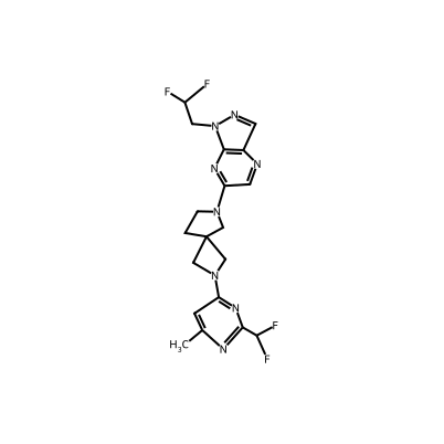 Cc1cc(N2CC3(CCN(c4cnc5cnn(CC(F)F)c5n4)C3)C2)nc(C(F)F)n1